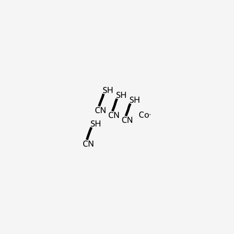 N#CS.N#CS.N#CS.N#CS.[Co]